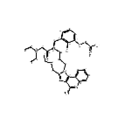 CCOCc1nc2c(N)nc3ccccc3c2n1CCCN(Cc1cccc(OCC(=O)O)c1F)C(=O)CN(CC)CC